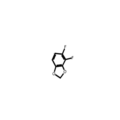 Fc1[c]cc2c(c1F)OCO2